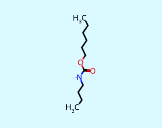 CCCCCCOC(=O)[N]CCCC